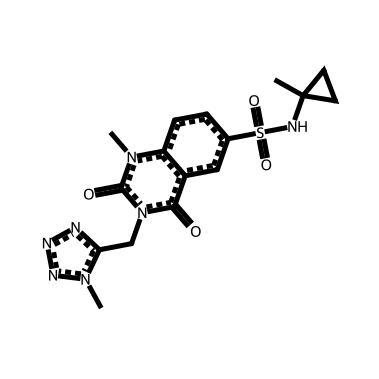 Cn1nnnc1Cn1c(=O)c2cc(S(=O)(=O)NC3(C)CC3)ccc2n(C)c1=O